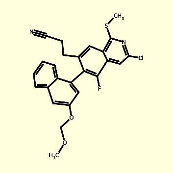 COCOc1cc(-c2c(CCC#N)cc3c(SC)nc(Cl)cc3c2F)c2ccccc2c1